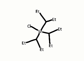 CC[CH](CC)[Sn]([Cl])([CH](CC)CC)[CH](CC)CC